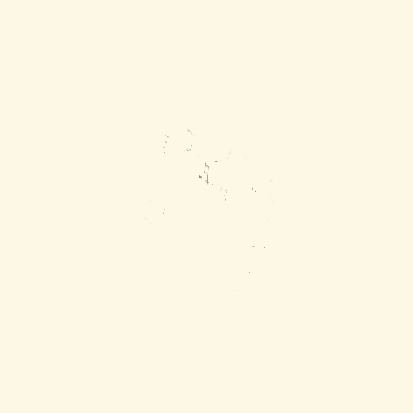 C[C@H]1CN(CC2CCN(C(=O)O)CC2)CCN1c1cccc2c(-c3ccc(O)nc3OCc3ccccc3)nn(C)c12